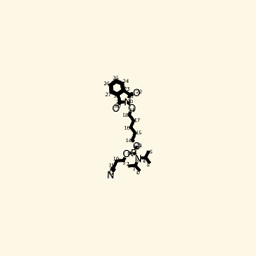 CC(C)N(C(C)C)P(OCCC#N)OCCCCCON1C(=O)c2ccccc2C1=O